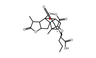 CCCC[C@@H]1CC2OC(=O)C34OOC(=O)C(OCC(=O)O)C1(C)C23CC1OC(=O)C(C)C14